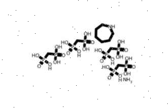 C1CCCNCC1.N.O=P(O)(O)CP(=O)(O)O.O=P(O)(O)CP(=O)(O)O.O=P(O)(O)CP(=O)(O)O.O=P(O)(O)CP(=O)(O)O